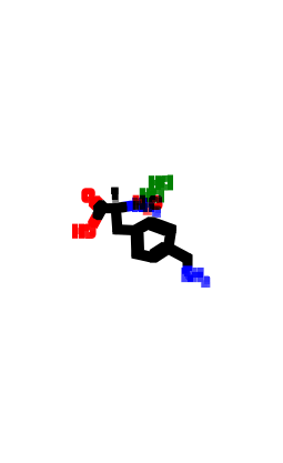 C[C@](N)(Cc1ccc(CN)cc1)C(=O)O.Cl.Cl.O